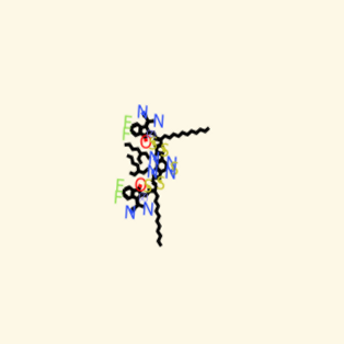 CCCCCCCCCCCc1c(/C=C2\C(=O)c3cc(F)c(F)cc3C2=C(C#N)C#N)sc2c1sc1c3c4nsnc4c4c5sc6c(CCCCCCCCCCC)c(/C=C7\C(=O)c8cc(F)c(F)cc8C7=C(C#N)C#N)sc6c5n(CCC(CC)CCCC)c4c3n(CCC(CC)CCCC)c21